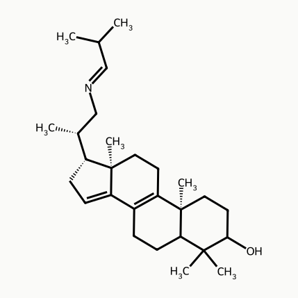 CC(C)C=NC[C@@H](C)[C@H]1CC=C2C3=C(CC[C@@]21C)[C@@]1(C)CCC(O)C(C)(C)C1CC3